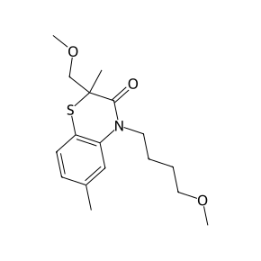 COCCCCN1C(=O)C(C)(COC)Sc2ccc(C)cc21